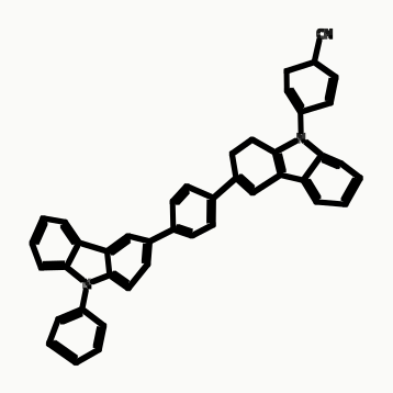 N#CC1C=CC(n2c3c(c4ccccc42)C=C(c2ccc(-c4ccc5c(c4)c4ccccc4n5-c4ccccc4)cc2)CC3)=CC1